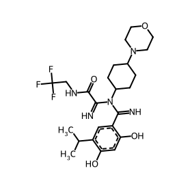 CC(C)c1cc(C(=N)N(C(=N)C(=O)NCC(F)(F)F)C2CCC(N3CCOCC3)CC2)c(O)cc1O